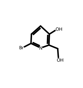 OCc1nc(Br)ccc1O